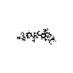 Cc1nc(Nc2cccc(N3CCNC3=O)n2)sc1-c1cc2c(c(S(C)(=O)=O)c1)C(=O)N(C(C)C1CC1)C2